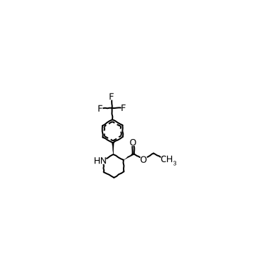 CCOC(=O)[C@H]1CCCN[C@H]1c1ccc(C(F)(F)F)cc1